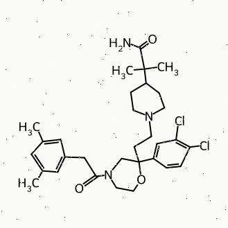 Cc1cc(C)cc(CC(=O)N2CCOC(CCN3CCC(C(C)(C)C(N)=O)CC3)(c3ccc(Cl)c(Cl)c3)C2)c1